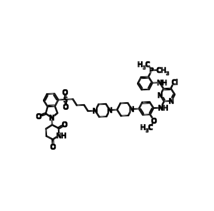 COc1cc(N2CCC(N3CCN(CCCCS(=O)(=O)c4cccc5c4CN(C4CCC(=O)NC4=O)C5=O)CC3)CC2)ccc1Nc1ncc(Cl)c(Nc2ccccc2P(C)C)n1